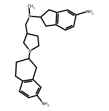 CN(CC1CCN(C2CCc3ccc(N)cc3C2)C1)C1Cc2ccc(N)cc2C1